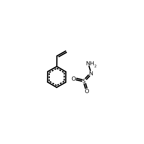 C=Cc1ccccc1.NN=S(=O)=O